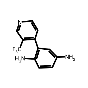 Nc1ccc(N)c(-c2ccncc2C(F)(F)F)c1